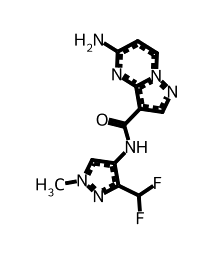 Cn1cc(NC(=O)c2cnn3ccc(N)nc23)c(C(F)F)n1